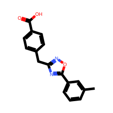 Cc1cccc(-c2nc(Cc3ccc(C(=O)O)cc3)no2)c1